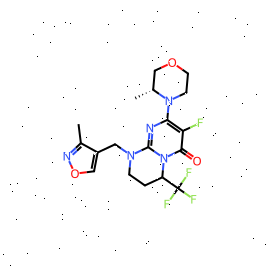 Cc1nocc1CN1CCC(C(F)(F)F)n2c1nc(N1CCOC[C@H]1C)c(F)c2=O